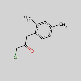 Cc1ccc(CC(=O)CCl)c(C)c1